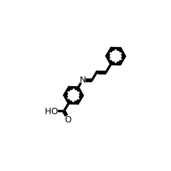 O=C(O)c1ccc(N=CC=Cc2ccccc2)cc1